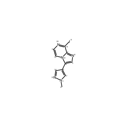 Cn1cc(-c2cnc3c(I)nccn23)cn1